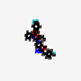 C[C@H](CN(c1ccccc1)S(=O)(=O)CC1CCC(F)(F)CC1)N1CCC(NC(=O)Cc2ccc(F)cc2)CC1